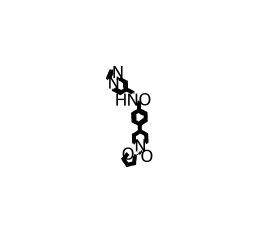 O=C(NCc1ccn2ccnc2c1)c1ccc(C2CCN(C(=O)[C@@H]3CCCO3)CC2)cc1